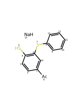 CC(=O)c1ccc(S)c(Sc2ccccc2)c1.[NaH]